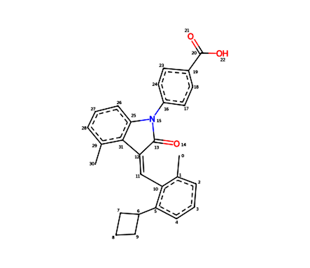 Cc1cccc(C2CCC2)c1/C=C1\C(=O)N(c2ccc(C(=O)O)cc2)c2cccc(C)c21